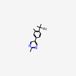 CC(=O)C(C)(C)c1ccc(-c2cnc(C)nc2)cc1C